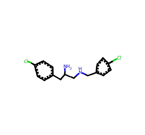 NC(CNCc1ccc(Cl)cc1)Cc1ccc(Cl)cc1